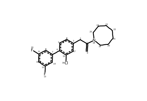 C=C(Cc1ccc(-c2cc(F)cc(F)c2)c(Cl)c1)N1CCCCCCC1